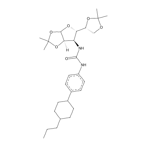 CCCC1CCC(c2ccc(NC(=O)N[C@@H]3[C@@H]([C@H]4COC(C)(C)O4)OC4OC(C)(C)O[C@@H]43)cc2)CC1